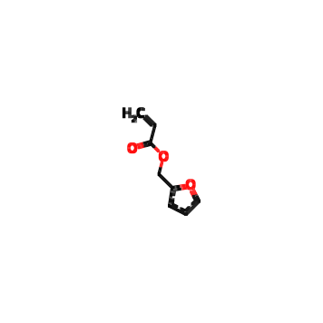 C=CC(=O)OCc1ccco1